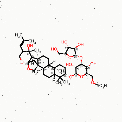 CC(C)=CC1CO[C@]23C[C@]4(CO2)[C@H](CC[C@@H]2[C@@]5(C)CC[C@H](O[C@@H]6O[C@H](COS(=O)(=O)O)[C@@H](O)[C@H](O[C@@H]7O[C@@H](CO)[C@H](O)[C@H]7O)[C@H]6O)C(C)(C)[C@@H]5CC[C@]24C)[C@H]3[C@@]1(C)O